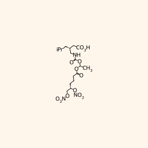 CC(C)C[C@H](CNC(=O)OC(C)OC(=O)CCC[C@H](CO[N+](=O)[O-])O[N+](=O)[O-])CC(=O)O